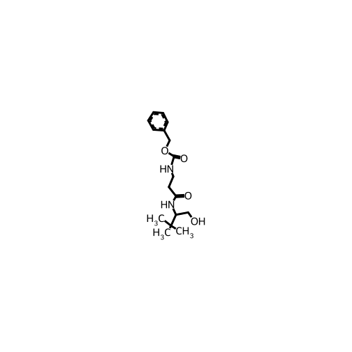 CC(C)(C)C(CO)NC(=O)CCNC(=O)OCc1ccccc1